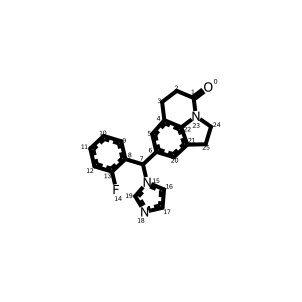 O=C1CCc2cc(C(c3ccccc3F)n3ccnc3)cc3c2N1CC3